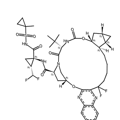 COc1ccc2nc3c(nc2c1)O[C@@H]1C[C@@H](C(=O)N[C@]2(C(=O)NS(=O)(=O)C4(C)CC4)C[C@H]2C(F)F)N(C1)C(=O)[C@H](C(C)(C)C)NC(=O)O[C@@H]1C[C@@H]2C[C@@H]2[C@H]1CCCCC3(F)F